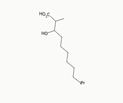 CC(C)CCCCCCC(O)C(C)C(=O)O